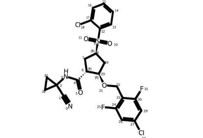 N#CC1(NC(=O)[C@@H]2C[C@@H](S(=O)(=O)c3ccccc3Cl)C[C@H]2OCc2c(F)cc(Cl)cc2F)CC1